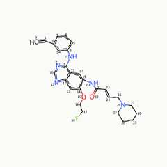 C#Cc1cccc(Nc2ncnc3cc(OCCF)c(NC(=O)C=CCN4CCCCC4)cc23)c1